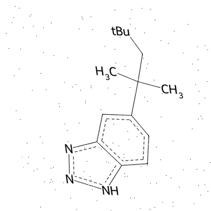 CC(C)(C)CC(C)(C)c1ccc2[nH]nnc2c1